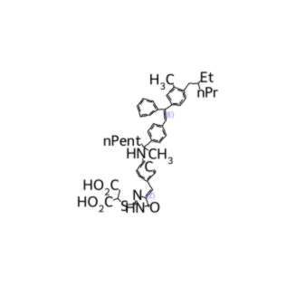 CCCCCC(C)(Nc1ccc(/C=C2\N=C(SC(CC(=O)O)C(=O)O)NC2=O)cc1)c1ccc(/C=C(\c2ccccc2)c2ccc(CC(CC)CCC)c(C)c2)cc1